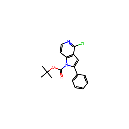 CC(C)(C)OC(=O)n1c(-c2ccccc2)cc2c(Cl)nccc21